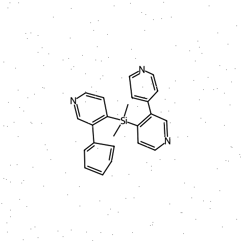 C[Si](C)(c1ccncc1-c1ccccc1)c1ccncc1-c1ccncc1